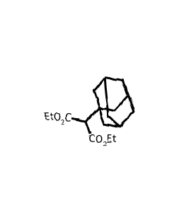 CCOC(=O)C(C(=O)OCC)C12CC3CC(CC(C3)C1)C2